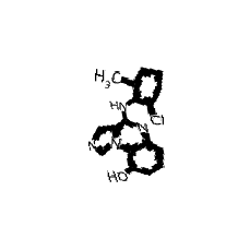 Cc1cccc(Cl)c1Nc1nc2cccc(O)c2n2cncc12